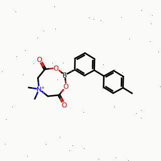 Cc1ccc(-c2cccc(B3OC(=O)C[N+](C)(C)CC(=O)O3)c2)cc1